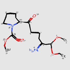 CCOC(OCC)C(N)CCC(=O)[C@@H]1CCCN1C(=O)OC(C)(C)C